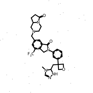 CN1C=NNC1CC1(c2cccc(N3Cc4c(cc(CN5CCN6C(=O)CCC6C5)cc4C(F)(F)F)C3=O)c2)COC1